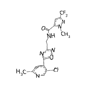 Cc1cc(-c2nc(CNC(=O)c3cc(C(F)(F)F)nn3C)no2)c(Cl)cn1